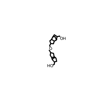 OCC1CC2CC1C1CC(COCC3CC4C5CC(CO)C(C5)C4C3)CC21